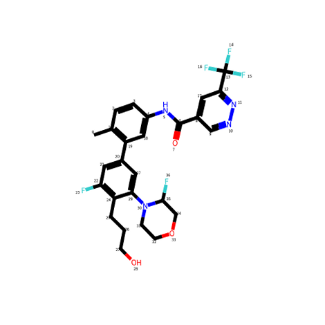 Cc1ccc(NC(=O)c2cnnc(C(F)(F)F)c2)cc1-c1cc(F)c(CCCO)c(N2CCOCC2F)c1